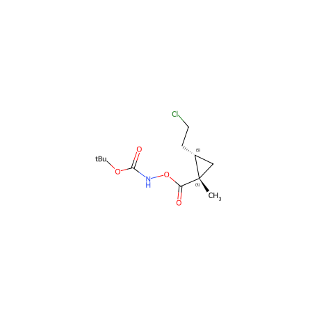 CC(C)(C)OC(=O)NOC(=O)[C@@]1(C)C[C@H]1CCCl